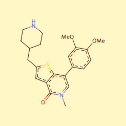 COc1ccc(-c2cn(C)c(=O)c3cc(CC4CCNCC4)sc23)cc1OC